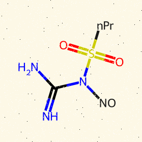 CCCS(=O)(=O)N(N=O)C(=N)N